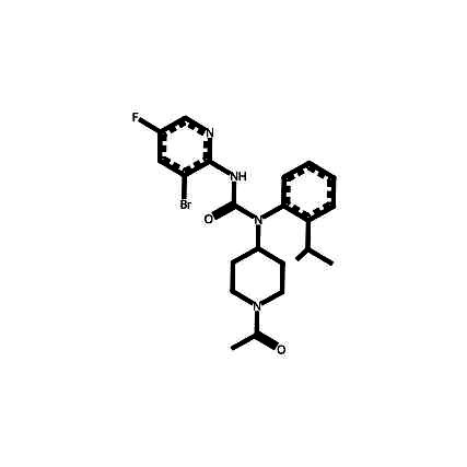 CC(=O)N1CCC(N(C(=O)Nc2ncc(F)cc2Br)c2ccccc2C(C)C)CC1